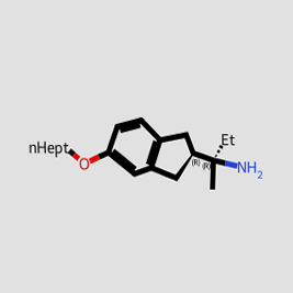 CCCCCCCOc1ccc2c(c1)C[C@H]([C@](C)(N)CC)C2